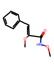 CONC(=O)C(=Cc1ccccc1)OC